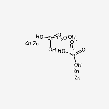 O.O.O.[O]=[Sn]([OH])[OH].[O]=[Sn]([OH])[OH].[Zn].[Zn].[Zn].[Zn]